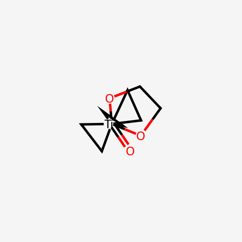 [O]=[Ti]1234([CH2][CH2]1)([CH2][CH2]2)([CH2][CH2]3)[O]CC[O]4